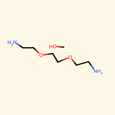 CO.NCCOCCOCCN